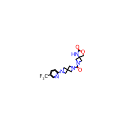 O=C1NC2(CO1)CN(C(=O)N1CC3(C1)CN(c1ccc(C(F)(F)F)cn1)C3)C2